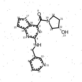 O=C(c1nc(NCc2cccnc2)nc2ccsc12)N1CC[C@H](O)C1